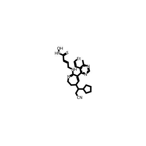 CC/C=C\c1c(C)ncnc1C1=CC(C(CC#N)C2CCCC2)CCN=C1NC/C=C/C(=S)NO